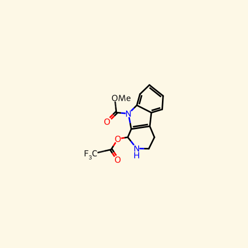 COC(=O)n1c2c(c3ccccc31)CCNC2OC(=O)C(F)(F)F